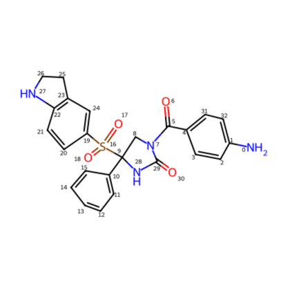 Nc1ccc(C(=O)N2CC(c3ccccc3)(S(=O)(=O)c3ccc4c(c3)CCN4)NC2=O)cc1